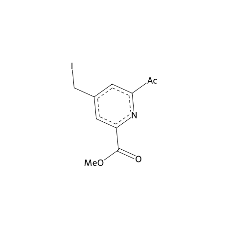 COC(=O)c1cc(CI)cc(C(C)=O)n1